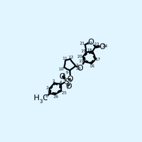 Cc1ccc(S(=O)(=O)OC2CCCC2Oc2ccc3c(c2)COC3=O)cc1